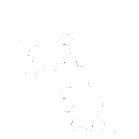 CNC(C)C(=O)NC(C(=O)N1CCN(C(=O)c2c(C(=O)NCCOCCN3CCN(c4cc(Nc5ncc(C(=O)Nc6c(C)cccc6Cl)s5)nc(C)n4)CC3)c3cc(F)c(F)cc3n2C)CC1)C1CCCCC1